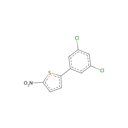 O=[N+]([O-])c1ccc(-c2cc(Cl)cc(Cl)c2)s1